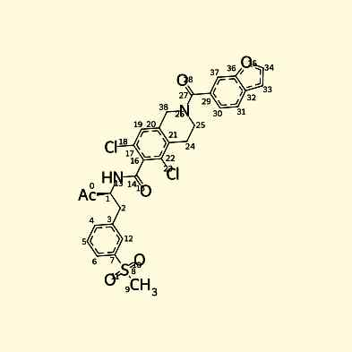 CC(=O)[C@H](Cc1cccc(S(C)(=O)=O)c1)NC(=O)c1c(Cl)cc2c(c1Cl)CCN(C(=O)c1ccc3ccoc3c1)C2